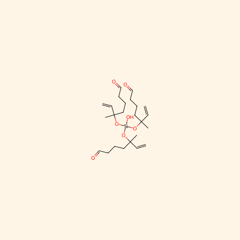 C=CC(C)(CCCC=O)O[Si](O)(OC(C)(C=C)CCCC=O)OC(C)(C=C)CCCC=O